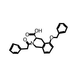 O=C(O)[C@H]1Cc2c(cccc2OCc2ccccc2)CN1C(=O)Cc1ccccc1